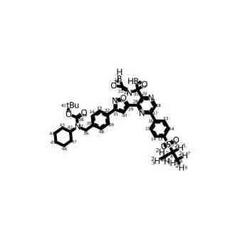 [2H]C([2H])([2H])C([2H])(C([2H])([2H])[2H])S(=O)(=O)c1ccc(-c2cnc(C3(/N=C4\BO4)BO3)c(-c3cc(-c4ccc(CN(C(=O)OC(C)(C)C)C5CCCCC5)cc4)no3)n2)cc1